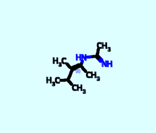 CC(=N)N/C(C)=C(\C)C(C)C